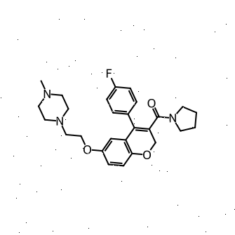 CN1CCN(CCOc2ccc3c(c2)C(c2ccc(F)cc2)=C(C(=O)N2CCCC2)CO3)CC1